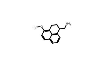 COc1ccc2cccc3c2c1CCC3CN